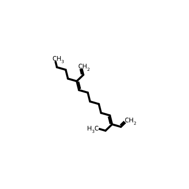 C=CC(=CCCCCC=C(C=C)CCCC)CC